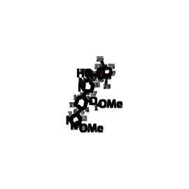 COCOc1cc(-c2cnnc(OC)c2)ccc1-c1ccc(N(C)C2C[C@]3(C)CC[C@](C)(C2)N3C(=O)O)nn1